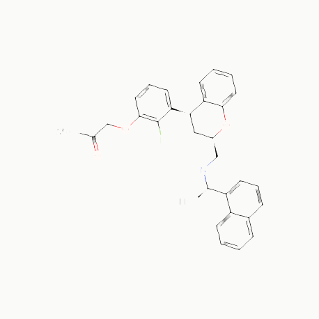 COC(=O)COc1cccc([C@@H]2C[C@H](CN[C@H](C)c3cccc4ccccc34)Oc3ccccc32)c1F